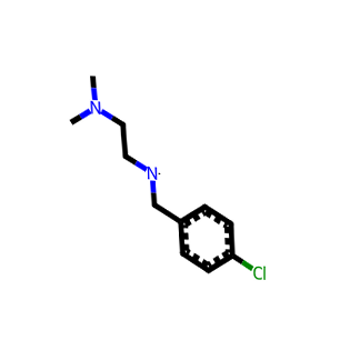 CN(C)CC[N]Cc1ccc(Cl)cc1